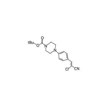 CC(C)(C)OC(=O)N1CCN(c2ccc(C=C(Cl)C#N)cc2)CC1